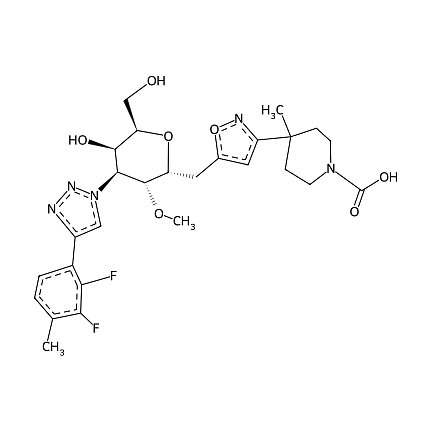 CO[C@@H]1[C@@H](n2cc(-c3ccc(C)c(F)c3F)nn2)[C@@H](O)[C@@H](CO)O[C@@H]1Cc1cc(C2(C)CCN(C(=O)O)CC2)no1